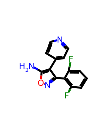 Nc1onc(-c2c(F)cccc2F)c1-c1ccncc1